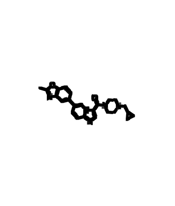 Cc1nc2cc(-c3ccc4ncc(C(=O)N5CCN(CC6CC6)CC5)n4c3)ccc2o1